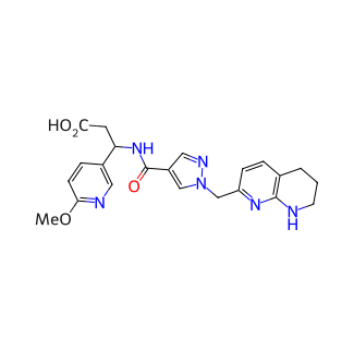 COc1ccc(C(CC(=O)O)NC(=O)c2cnn(Cc3ccc4c(n3)NCCC4)c2)cn1